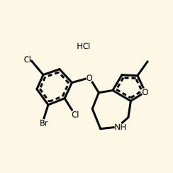 Cc1cc2c(o1)CNCCC2Oc1cc(Cl)cc(Br)c1Cl.Cl